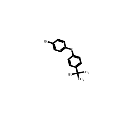 CCc1ccc(Sc2ccc(C(C)(C)CC)cc2)cc1